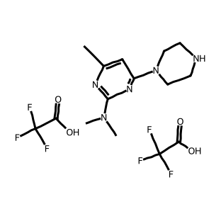 Cc1cc(N2CCNCC2)nc(N(C)C)n1.O=C(O)C(F)(F)F.O=C(O)C(F)(F)F